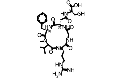 CC(C)C1C(=O)N[C@@H](CCCNC(=N)N)C(=O)NCC(=O)N[C@@H](CC(=O)N[C@H](CS)C(=O)O)C(=O)N[C@H](Cc2ccccc2)C(=O)N1C